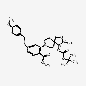 COC(=O)c1ncc(OCc2ccc(OC)cc2)cc1N1CCC2(CC1)CO[C@@H](C)[C@H]2NC(=O)OC(C)(C)C